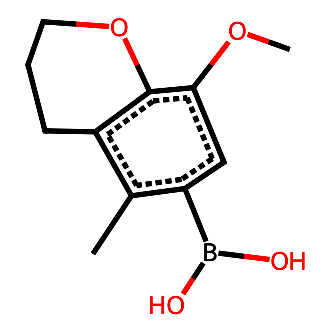 COc1cc(B(O)O)c(C)c2c1OCCC2